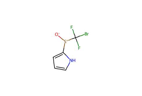 [O-][S+](c1ccc[nH]1)C(F)(F)Br